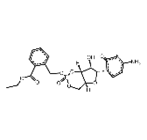 CCOC(=O)c1ccccc1COP1(=O)OC[C@H]2O[C@@H](n3ccc(N)nc3=O)[C@H](O)[C@H]2O1